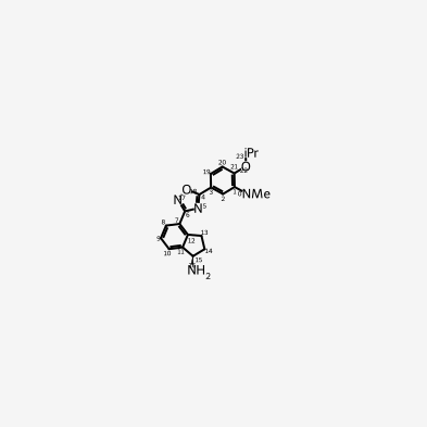 CNc1cc(-c2nc(-c3cccc4c3CC[C@H]4N)no2)ccc1OC(C)C